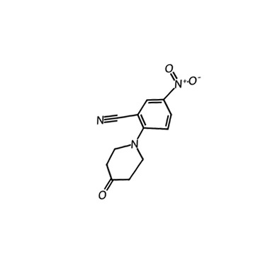 N#Cc1cc([N+](=O)[O-])ccc1N1CCC(=O)CC1